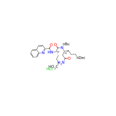 CCCCCCCCCCCCC[C@@H](CC(N)=O)N(CCCC)C(=O)[C@H](CCCC(=O)O)NC(=O)c1ccc2ccccc2n1.Cl